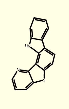 c1ccc2c(c1)[nH]c1c2ccc2sc3cccnc3c21